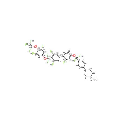 CCCCC1CCC(c2ccc(C(F)(F)Oc3ccc(-c4cc(F)c(C(F)(F)Oc5cc(F)c(OC(F)=C(F)F)c(F)c5)c(F)c4)c(F)c3)cc2)CC1